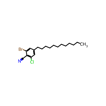 CCCCCCCCCCCCc1cc(Cl)c(C#N)c(Br)c1